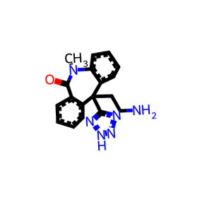 CN1C(=O)c2ccccc2C(CCN)(c2nn[nH]n2)c2ccccc21